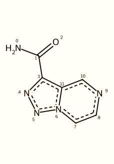 NC(=O)c1nnn2ccncc12